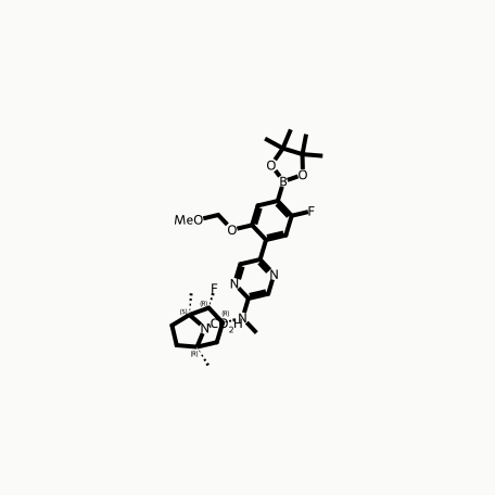 COCOc1cc(B2OC(C)(C)C(C)(C)O2)c(F)cc1-c1cnc(N(C)[C@@H]2C[C@@]3(C)CC[C@@](C)([C@@H]2F)N3C(=O)O)cn1